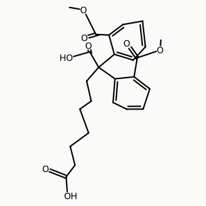 COC(=O)c1ccccc1C(CCCCCCC(=O)O)(C(=O)O)c1ccccc1C(=O)OC